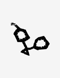 CC(C)c1ccc(C2(c3ccccc3)CC2)cc1